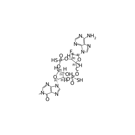 Cn1cnc2c(ncn2[C@@H]2O[C@@H]3OP(=O)(S)O[C@H]4[C@@H](F)[C@H](n5cnc6c(N)ncnc65)O[C@@H]4COP(=O)(S)O[C@@H]2[C@@H]3O)c1=O